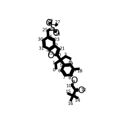 CCC(CC)(c1ccc(OCC(=O)C(C)(C)C)c(C)c1)c1cc2cc(CS(C)(=O)=O)ccc2o1